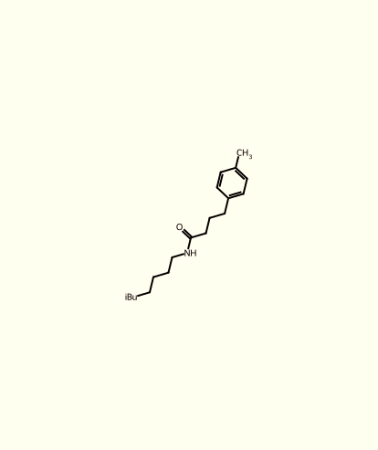 CCC(C)CCCCNC(=O)CCCc1ccc(C)cc1